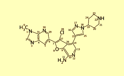 Cn1cnc2cc(-c3oc4c(N)ncc(-c5cnn(C6CCNCC6)c5)c4c3Cl)cnc21